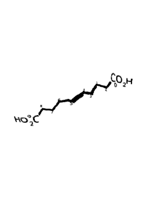 O=C(O)CC=CC=CCCCC(=O)O